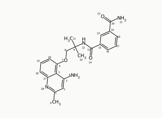 Cc1cc(N)c2c(OCC(C)(C)NC(=O)c3cccc(C(N)=O)c3)cccc2n1